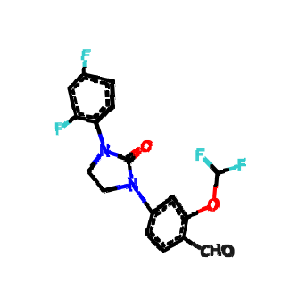 O=Cc1ccc(N2CCN(c3ccc(F)cc3F)C2=O)cc1OC(F)F